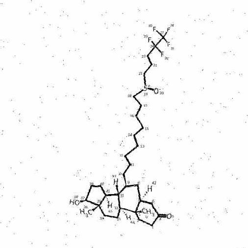 C[C@]12CCC(=O)C[C@@H]1C[C@H](CCCCCCCCC[S+]([O-])CCCC(F)(F)C(F)(F)F)[C@@H]1[C@@H]2CC[C@]2(C)[C@@H](O)CC[C@@H]12